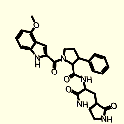 COc1cccc2[nH]c(C(=O)N3CCC(c4ccccc4)C3C(=O)NC(CC3CCNC3=O)C(N)=O)cc12